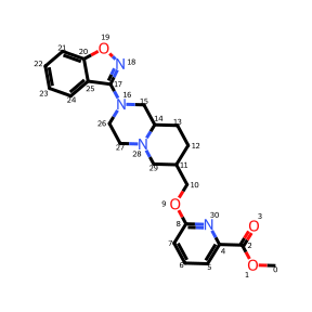 COC(=O)c1cccc(OCC2CCC3CN(c4noc5ccccc45)CCN3C2)n1